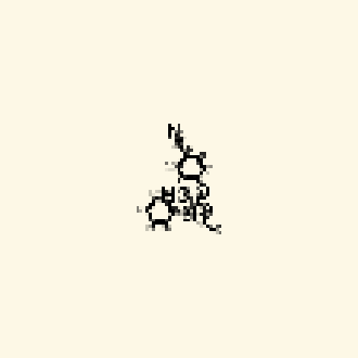 CCOP(O)(Oc1ccc(C#N)cc1)=[SH]c1ccccc1